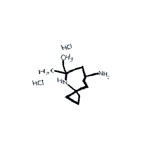 CC1(C)CC(N)CC2(CC2)N1.Cl.Cl